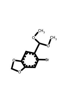 COC(OC)c1cc2c(cc1Br)OCO2